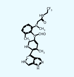 CC1=C(C2=c3cn[nH]c3=CNC2)NCC(N(C=O)c2c(C)cccc2N(C)CC(=O)NCC(F)(F)F)=C1